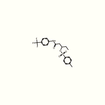 CCC(CC(=O)Nc1ccc(C(F)(F)F)cc1)OS(=O)(=O)c1ccc(C)cc1